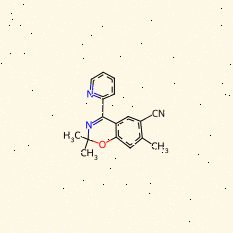 Cc1cc2c(cc1C#N)C(c1ccccn1)=NC(C)(C)O2